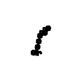 CCc1nc2ccccc2n1-c1ccc(-c2ccc(-c3ccc4oc5c(ccc6c7ccccc7oc65)c4c3)cc2)cc1